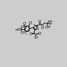 CCN(CC)C(=O)c1nc(C(=O)NCC2(O)COC2)sc1-c1ccc(C(C)(O)C(F)(F)F)c(Cl)c1Cl